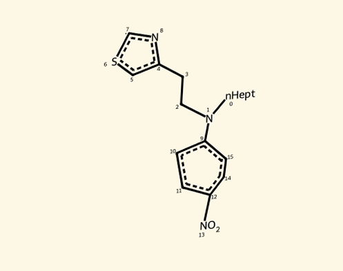 CCCCCCCN(CCc1cs[c]n1)c1ccc([N+](=O)[O-])cc1